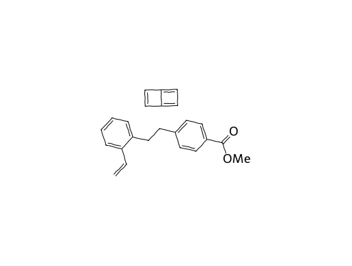 C=Cc1ccccc1CCc1ccc(C(=O)OC)cc1.c1cc2ccc1-2